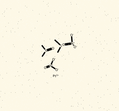 CS(C)=O.CSC.O=[N+]([O-])[O-].O=[N+]([O-])[O-].[Pt+2]